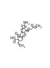 COC(=O)CO/N=C(/C(=O)NC1C(=O)N2C(C(=O)O)=C(SC)CS[C@H]12)c1csc(N)n1